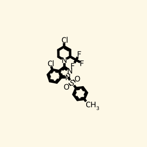 Cc1ccc(S(=O)(=O)n2nc(N3CCC(Cl)=CC3C(F)(F)F)c3c(Cl)cccc32)cc1